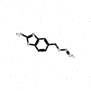 C=NOCc1ccc2oc(N)nc2c1